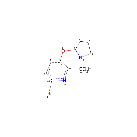 O=C(O)N1CCCC1Oc1ccc(Br)nc1